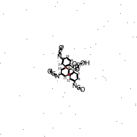 O=C=Nc1ccc([SH]2(c3ccc(N=C=O)cc3)(c3ccc(N=C=O)cc3)OP(O)O2)cc1